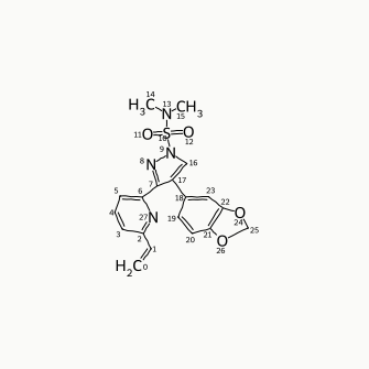 C=Cc1cccc(-c2nn(S(=O)(=O)N(C)C)cc2-c2ccc3c(c2)OCO3)n1